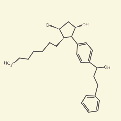 O=C(O)CCCCCC[C@@H]1C(c2ccc(C(O)CCc3ccccc3)cc2)[C@H](O)C[C@@H]1Cl